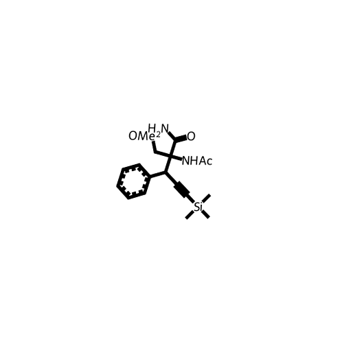 COCC(NC(C)=O)(C(N)=O)C(C#C[Si](C)(C)C)c1ccccc1